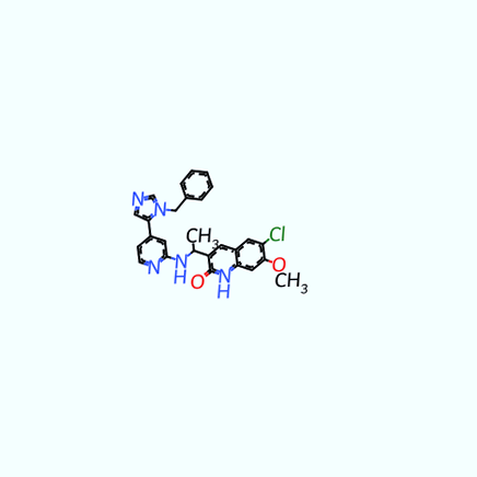 COc1cc2[nH]c(=O)c(C(C)Nc3cc(-c4cncn4Cc4ccccc4)ccn3)cc2cc1Cl